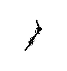 CCCCCCCCCCON1C(C(C)C)CC(OC(=O)CCCCCCCCC(=O)OC2CC(C(C)C)N(CCCCCCCCCC)C(C(C)C)C2)CC1(C)C